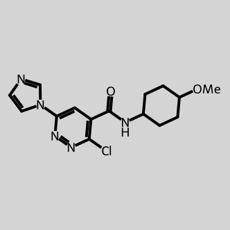 COC1CCC(NC(=O)c2cc(-n3ccnc3)nnc2Cl)CC1